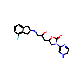 O=C1OC(CC(O)CNC2Cc3cccc(F)c3C2)CN1C1=CNCC=N1